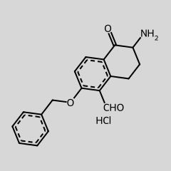 Cl.NC1CCc2c(ccc(OCc3ccccc3)c2C=O)C1=O